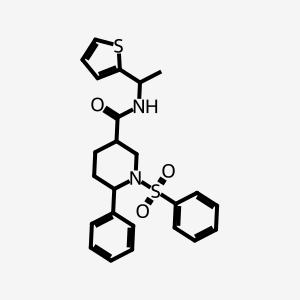 CC(NC(=O)C1CCC(c2ccccc2)N(S(=O)(=O)c2ccccc2)C1)c1cccs1